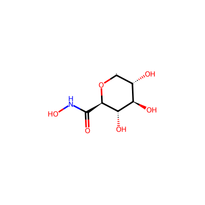 O=C(NO)[C@H]1O[CH][C@H](O)[C@@H](O)[C@@H]1O